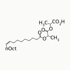 CCCCCCCC/C=C\CCCCCCCC(=O)OC(C)C(=O)OC(C)C(=O)O